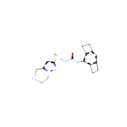 NS(=O)(=NC(=O)Nc1c2c(cc3c1CC3)CC2)c1cc2n(n1)CCNC2